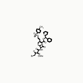 CON=C(C(=O)CBr)C(=O)NC1C(=O)N2C(C(=O)OC(c3ccccc3)c3ccccc3)=C(C=COS(=O)(=O)c3ccc(C)cc3)CSC12